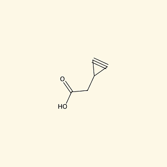 O=C(O)CC1C#C1